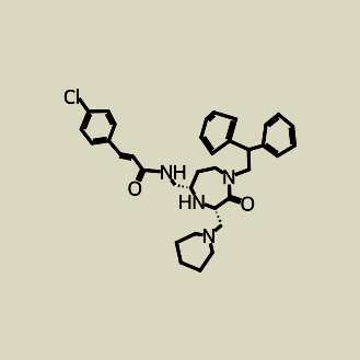 O=C(/C=C/c1ccc(Cl)cc1)NC[C@@H]1CCN(CC(c2ccccc2)c2ccccc2)C(=O)[C@H](CN2CCCCC2)N1